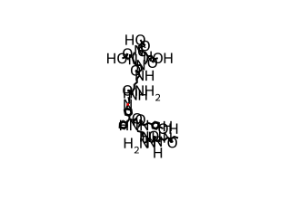 CCC(=O)NCCNC(=O)/N=C(/N)NCCC[C@@H](NC(=O)C(c1ccccc1)c1ccc(NCCNC(=O)[C@H](N)CCCNC(=O)CN2CCN(CC(=O)O)CCN(CC(=O)O)CCN(CC(=O)O)CC2)cc1)C(=O)NCc1ccc(O)cc1